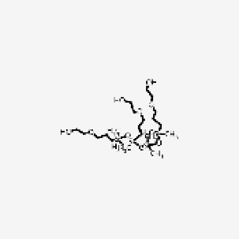 C[Si](C)(CCCOCCO)O[Si](C)(C)O[Si](C)(CCCOCCO)O[Si](C)(C)CCCOCCO